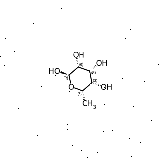 C[C@@H]1O[C@@H](O)[C@H](O)[C@H](O)[C@@H]1O